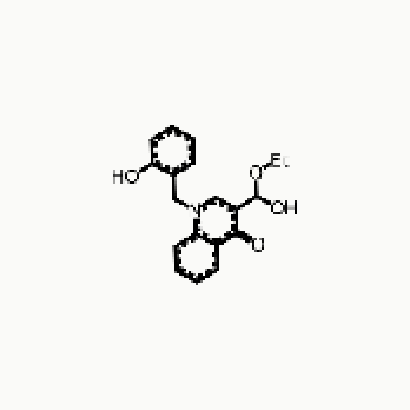 CCOC(O)c1cn(Cc2ccccc2O)c2ccccc2c1=O